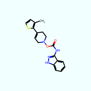 Cc1ccsc1C1=CCN(OC(=O)Nc2n[nH]c3ccccc23)CC1